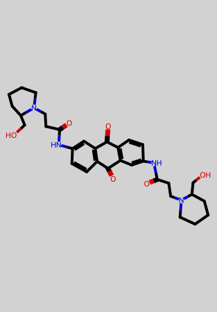 O=C(CCN1CCCCC1CO)Nc1ccc2c(c1)C(=O)c1ccc(NC(=O)CCN3CCCCC3CO)cc1C2=O